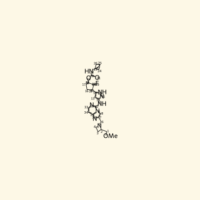 COCC1CCN1Cc1cn2c(Nc3cc([C@H]4CC[C@@H](OC(=O)NC56CC(C5)C6)[C@H]4F)[nH]n3)nccc2n1